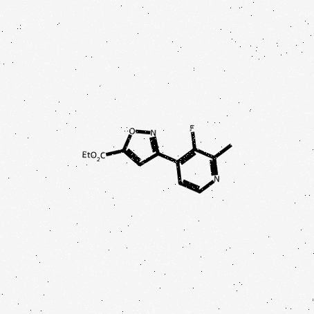 CCOC(=O)c1cc(-c2ccnc(C)c2F)no1